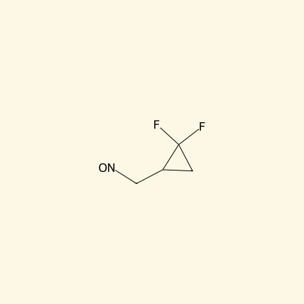 O=NCC1CC1(F)F